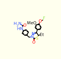 CCC1SC(=O)N(Cc2ccc(NC(N)=O)cc2)N=C1c1ccc(OCF)c(OC)c1